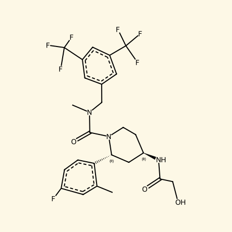 Cc1cc(F)ccc1[C@H]1C[C@H](NC(=O)CO)CCN1C(=O)N(C)Cc1cc(C(F)(F)F)cc(C(F)(F)F)c1